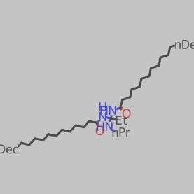 CCCCCCCCCCCCCCCCCCCCCC(=O)NC(CC)(NCCC)NC(=O)CCCCCCCCCCCCCCCCCCCCC